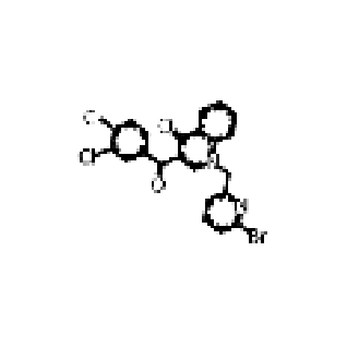 O=C(c1ccc(Cl)c(Cl)c1)c1cn(Cc2cccc(Br)n2)c2ccccc2c1=O